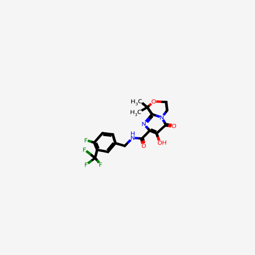 CC1(C)OCCn2c1nc(C(=O)NCc1ccc(F)c(C(F)(F)F)c1)c(O)c2=O